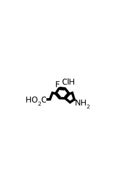 Cl.N[C@@H]1Cc2cc(F)c(CCC(=O)O)cc2C1